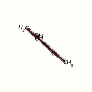 CCCCCCCCCCCCCCCCCCCC(=O)CCCCCCCCCCCCCCCCCCCCCCCCCCCCCC(=O)NC[C@H](O)CCCCCCCCCCCCCCCC